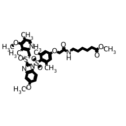 COC(=O)CCCCCNC(=O)COc1cc(C)c(S(=O)(=O)n2c([S+]([O-])Cc3ncc(C)c(OC)c3C)nc3cc(OC)ccc32)c(C)c1